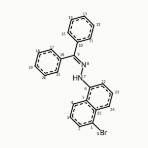 Brc1cccc2c(NN=C(c3ccccc3)c3ccccc3)cccc12